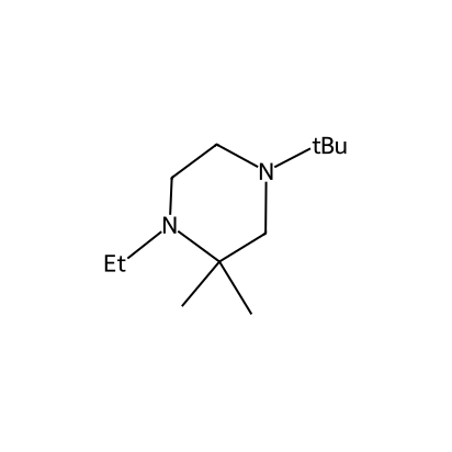 CCN1CCN(C(C)(C)C)CC1(C)C